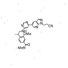 CNC(=O)c1ccc(C(C)CNc2cc(-c3cnc4c(cnn4CCC#N)c3)ncn2)c(OC)c1